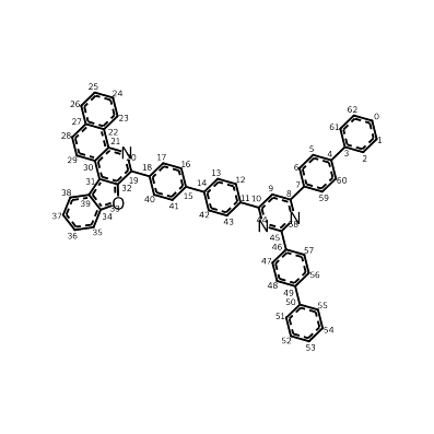 c1ccc(-c2ccc(-c3cc(-c4ccc(-c5ccc(-c6nc7c8ccccc8ccc7c7c6oc6ccccc67)cc5)cc4)nc(-c4ccc(-c5ccccc5)cc4)n3)cc2)cc1